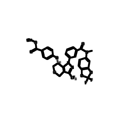 CN(C(=O)c1cccc(-n2nc(C(F)(F)F)c3c2[C@@H](Oc2ccc(C(=O)OC(C)(C)C)cc2)COC3)c1)c1ccc2c(c1)OC(F)(F)O2